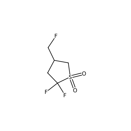 O=S1(=O)CC(CF)CC1(F)F